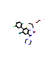 COCCOC1CSc2c(-c3cc(Cl)c(F)cc3F)c(C(F)(F)F)cc3c(N4CCNCC4)nc(=O)n(c23)C1